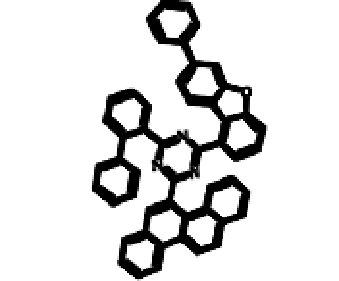 c1ccc(-c2ccc3c(c2)oc2cccc(-c4nc(-c5ccccc5-c5ccccc5)nc(-c5cc6ccccc6c6ccc7ccccc7c56)n4)c23)cc1